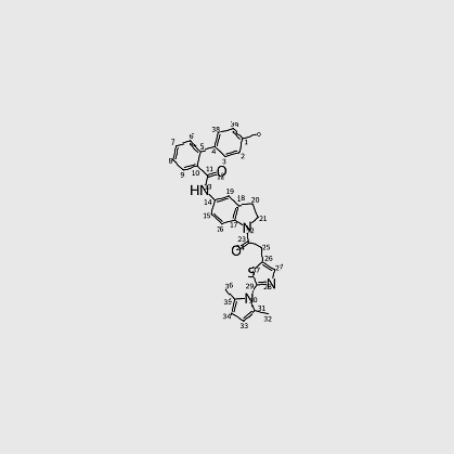 Cc1ccc(-c2ccccc2C(=O)Nc2ccc3c(c2)CCN3C(=O)Cc2cnc(-n3c(C)ccc3C)s2)cc1